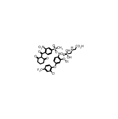 CCOc1cc(Oc2ccc(C(F)(F)F)cc2Cl)ccc1[N+](=O)[O-].CS(=O)(=O)c1ccc(C(=O)C2C(=O)CCCC2=O)c([N+](=O)[O-])c1.O=C(O)CNCP(=O)(O)O